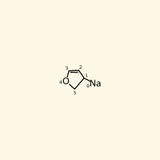 [Na][CH]1C=COC1